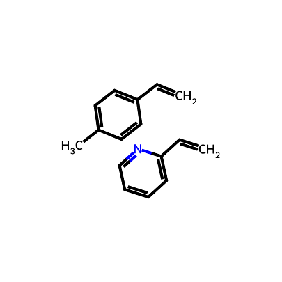 C=Cc1ccc(C)cc1.C=Cc1ccccn1